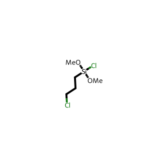 CO[Si](Cl)(CCCCl)OC